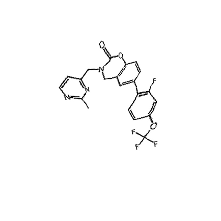 Cc1nccc(CN2Cc3cc(-c4ccc(OC(F)(F)F)cc4F)ccc3OC2=O)n1